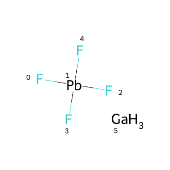 [F][Pb]([F])([F])[F].[GaH3]